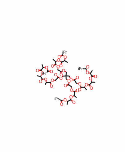 CC(C)C(=O)OC(C)C(=O)OC(C)C(=O)OCC(=O)OCC(COC(=O)COC(=O)C(C)OC(=O)C(C)OC(=O)C(C)C)(COC(=O)COC(=O)C(C)OC(=O)C(C)OC(=O)C(C)OC(=O)C(C)C)COC(=O)COC(=O)C(C)OC(=O)C(C)OC(=O)C(C)OC(=O)C(C)C